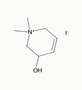 C[N+]1(C)CC=CC(O)C1.[I-]